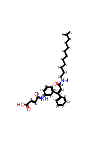 CC(C)CCCCCCCCCCNC(=O)C=C(c1ccccc1)c1cccc(NC(=O)C=CC(=O)O)c1